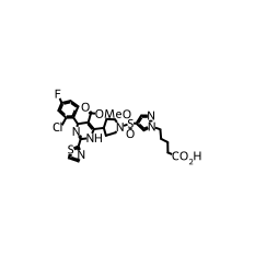 COC(=O)C1=C(C2CCN(S(=O)(=O)c3cnn(CCCCC(=O)O)c3)CC2)NC(c2nccs2)=NC1c1ccc(F)cc1Cl